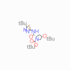 CC(C)(C)OC(=O)N1C[C@H](OC(C)(C)C)C[C@H]1C(=O)Nc1nnc(C(C)(C)C)s1